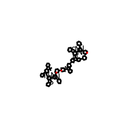 CC1(C)c2ccccc2-c2cc3c4ccccc4n(-c4cc(-c5cc(-c6ccccc6)nc(-c6cccc(-c7ccc(-n8c9ccccc9c9cc(-c%10ccc%11c(c%10)c%10ccc(-c%12ccccc%12)cc%10n%11-c%10cc(-c%11nc(-c%12ccccc%12)nc(-c%12ccccc%12)n%11)c%11sc%12ccccc%12c%11c%10)ccc98)cc7)c6)n5)c5sc6ccccc6c5c4)c3cc21